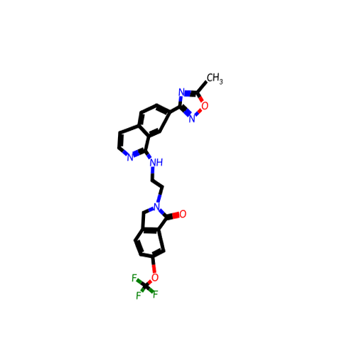 Cc1nc(-c2ccc3ccnc(NCCN4Cc5ccc(OC(F)(F)F)cc5C4=O)c3c2)no1